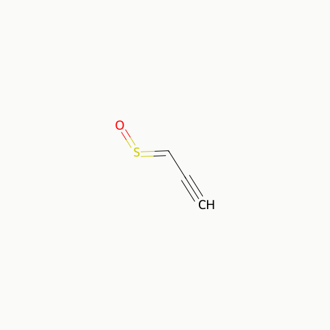 C#CC=S=O